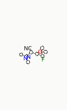 N#Cc1cc(-c2ccc3c(c2)OC(c2ccccc2)(c2ccccc2)c2ccc(F)cc2-3)cc(-c2cc(-c3ccccc3)nc(-c3ccccc3)n2)c1